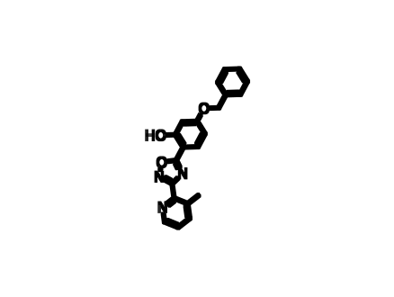 Cc1cccnc1-c1noc(-c2ccc(OCc3ccccc3)cc2O)n1